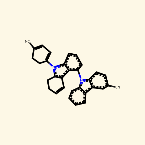 N#CC1=CC=C(n2c3c(c4c(-n5c6ccccc6c6cc(C#N)ccc65)cccc42)C=CCC3)CC1